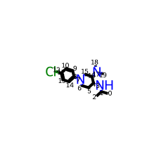 CC(C)N[C@@H]1CCN(c2ccc(Cl)cc2)C[C@@H]1N(C)C